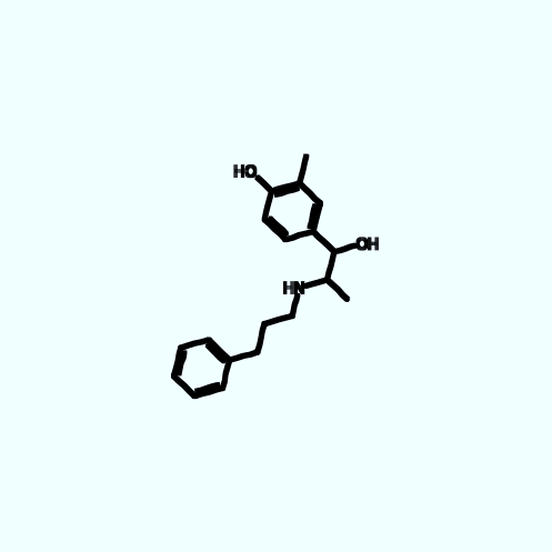 Cc1cc(C(O)C(C)NCCCc2ccccc2)ccc1O